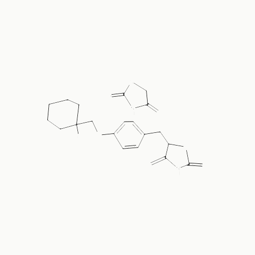 CC1(COc2ccc(CC3SC(=O)NC3=O)cc2)CCCCC1.O=C1CSC(=O)N1